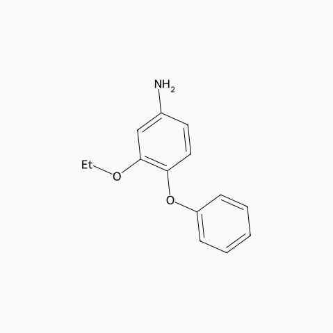 CCOc1cc(N)ccc1Oc1ccccc1